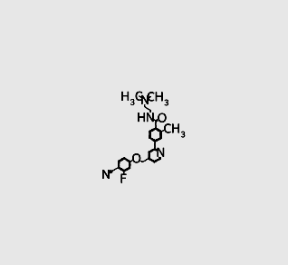 Cc1cc(-c2cc(COc3ccc(C#N)c(F)c3)ccn2)ccc1C(=O)NCCN(C)C